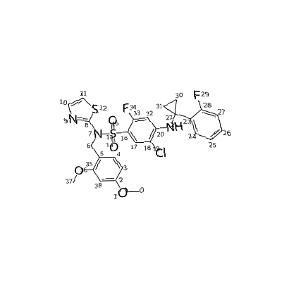 COc1ccc(CN(c2nccs2)S(=O)(=O)c2cc(Cl)c(NC3(c4ccccc4F)CC3)cc2F)c(OC)c1